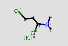 CN(C)C(Cl)CCCl.Cl